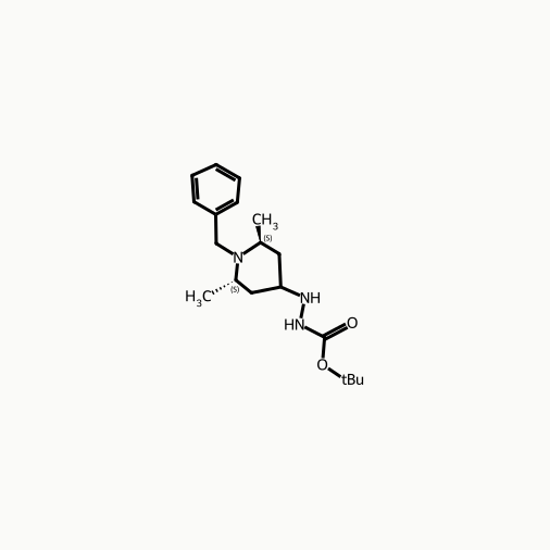 C[C@H]1CC(NNC(=O)OC(C)(C)C)C[C@H](C)N1Cc1ccccc1